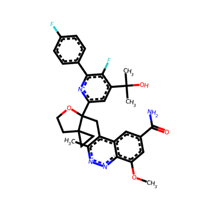 COc1cc(C(N)=O)cc2c(CC3(c4cc(C(C)(C)O)c(F)c(-c5ccc(F)cc5)n4)OCCC34CC4)c(C)nnc12